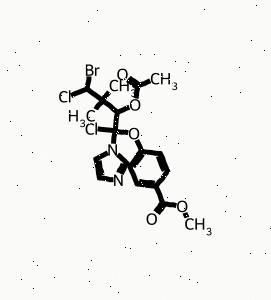 COC(=O)c1ccc(OC(Cl)(C(OC(C)=O)C(C)(C)C(Cl)Br)n2ccnc2)cc1